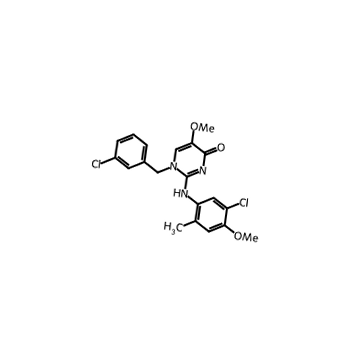 COc1cc(C)c(Nc2nc(=O)c(OC)cn2Cc2cccc(Cl)c2)cc1Cl